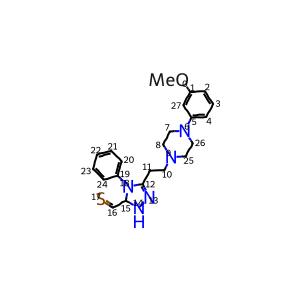 COc1cccc(N2CCN(CCC3=NNC(C=S)N3c3ccccc3)CC2)c1